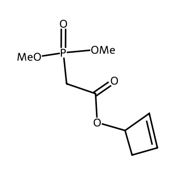 COP(=O)(CC(=O)OC1C=CC1)OC